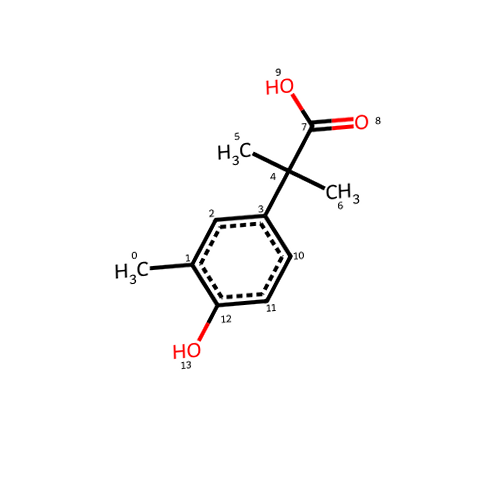 Cc1cc(C(C)(C)C(=O)O)ccc1O